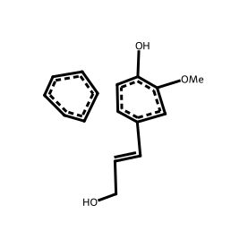 COc1cc(/C=C/CO)ccc1O.c1ccccc1